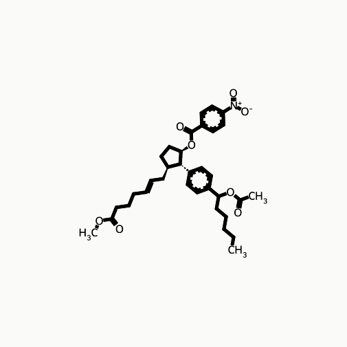 CCCCCC(OC(C)=O)c1ccc([C@@H]2[C@@H](CC=CCCCC(=O)OC)CC[C@H]2OC(=O)c2ccc([N+](=O)[O-])cc2)cc1